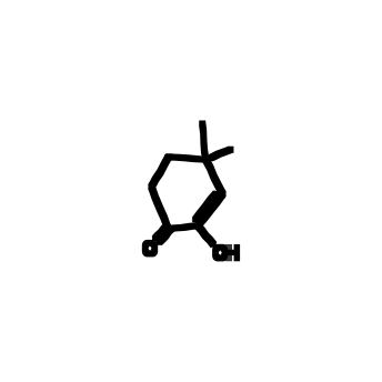 CC1(C)C=C(O)C(=O)CC1